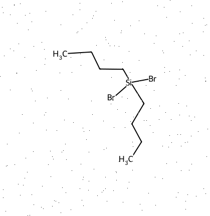 CCCC[Si](Br)(Br)CCCC